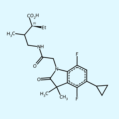 CC[C@H](C(=O)O)C(C)CNC(=O)CN1C(=O)C(C)(C)c2c(F)c(C3CC3)cc(F)c21